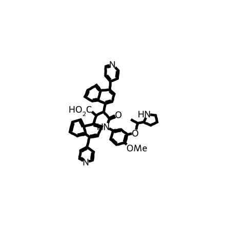 COc1ccc(NC(=O)C(c2ccc(-c3ccncc3)c3ccccc23)C(C(=O)O)c2ccc(-c3ccncc3)c3ccccc23)cc1OC(C)C1CCCN1